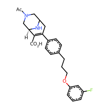 CC(=O)N1CC2CC(c3ccc(CCCOc4cccc(F)c4)cc3)=C(C(=O)O)[C@@H](C1)N2